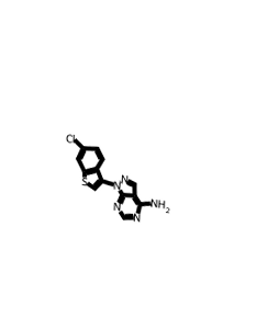 Nc1ncnc2c1cnn2-c1csc2cc(Cl)ccc12